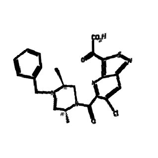 C[C@@H]1CN(Cc2ccccc2)[C@@H](C)CN1C(=O)c1nc2c(C(=O)C(=O)O)snc2cc1Cl